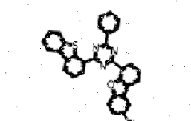 Clc1ccc2oc3c(-c4nc(-c5ccccc5)nc(-c5cccc6c5sc5ccccc56)n4)cccc3c2c1